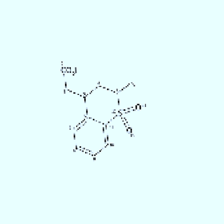 CC1CC(CC(=O)O)c2ccccc2S1(=O)=O